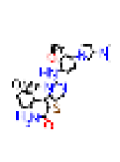 COc1ccccc1-c1c(C(N)=O)sc2cnc(Nc3ccc(N4CCC(N(C)C)C4)cc3OC(C)C)nc12